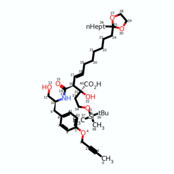 CC#CCOc1ccc(C[C@@H](CO)NC(=O)[C@@H](/C=C/CCCCCCC2(CCCCCCC)OCCO2)[C@@](O)(CCO[Si](C)(C)C(C)(C)C)C(=O)O)cc1